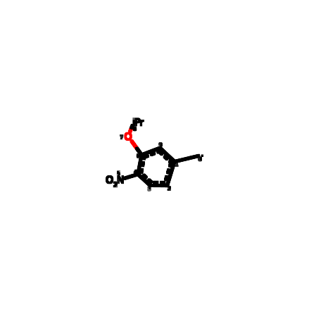 [CH2]c1ccc([N+](=O)[O-])c(OC(C)C)c1